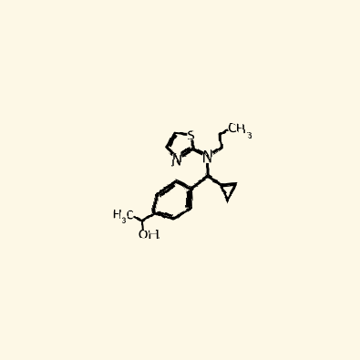 CCCN(c1nccs1)C(c1ccc(C(C)O)cc1)C1CC1